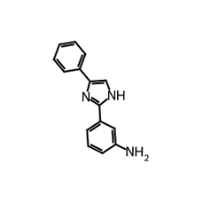 Nc1cccc(-c2nc(-c3ccccc3)c[nH]2)c1